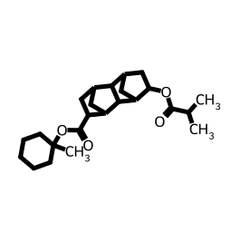 CC(C)C(=O)OC1CC2CC1C1C3CC(CC3C(=O)OC3(C)CCCCC3)C21